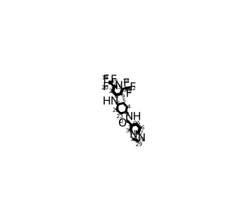 O=C(NC1CCC(Nc2cc(C(F)(F)F)nc(C(F)(F)F)c2)CC1)c1ccc2nccn2c1